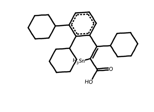 O=C(O)[C]([SnH3])=C(c1cccc(C2CCCCC2)c1C1CCCCC1)C1CCCCC1